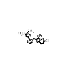 CCCc1c(Cn2ccnc2-c2cc(C)n(C)n2)nc2ccc(Cl)nn12